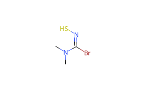 CN(C)/C(Br)=N\S